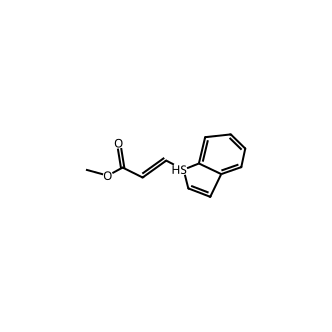 COC(=O)C=C[SH]1C=Cc2ccccc21